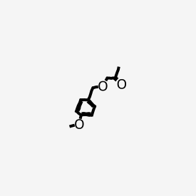 COc1ccc(COCC(C)=O)cc1